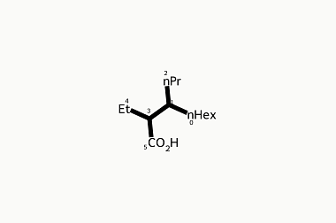 CCCCCCC(CCC)C(CC)C(=O)O